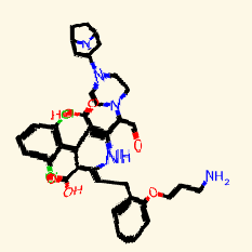 CN1C2CCC1CC(N1CCN(C(C=O)C3=C(C(=O)O)C(c4c(Cl)cccc4Cl)C(C(=O)O)=C(CCc4ccccc4OCCCN)N3)CC1)C2